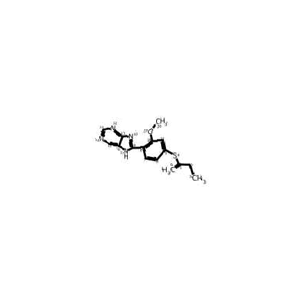 C=C(CC)Sc1ccc(-c2nc3ncncc3[nH]2)c(OC)c1